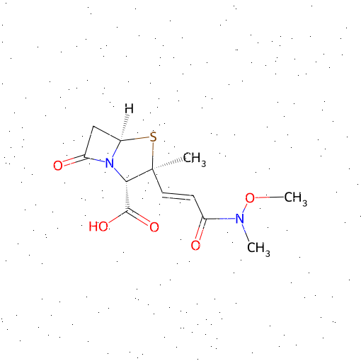 CON(C)C(=O)C=C[C@]1(C)S[C@@H]2CC(=O)N2[C@H]1C(=O)O